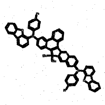 CC(C)c1ccc(N(c2ccc3cc4c(cc3c2)C(C(C)(C)C)(C(C)(C)C)c2c-4c3ccccc3c3cc(N(c4ccc(C(C)C)cc4)c4cccc5c4oc4ccccc45)ccc23)c2cccc3c2oc2ccccc23)cc1